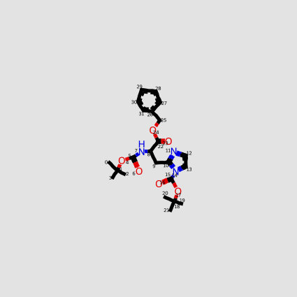 CC(C)(C)OC(=O)NC(Cc1nccn1C(=O)OC(C)(C)C)C(=O)OCc1ccccc1